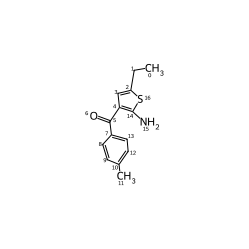 CCc1cc(C(=O)c2ccc(C)cc2)c(N)s1